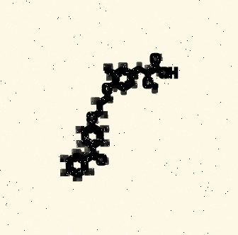 CO[C@@H](Cc1ccc(OCCCOc2ccc(C(=O)c3ccccc3)cc2)c(C)c1)C(=O)O